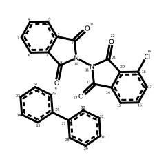 O=C1c2ccccc2C(=O)N1N1C(=O)c2cccc(Cl)c2C1=O.c1ccc(-c2ccccc2)cc1